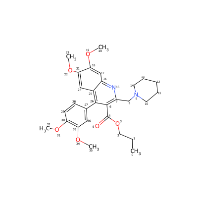 CCCOC(=O)c1c(CN2CCCCC2)nc2cc(OC)c(OC)cc2c1-c1ccc(OC)c(OC)c1